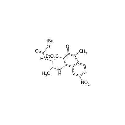 CCOC(=O)c1c(NC(C)CNC(=O)OC(C)(C)C)c2cc([N+](=O)[O-])ccc2n(C)c1=O